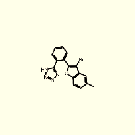 Cc1ccc2oc(-c3ccccc3-c3nnn[nH]3)c(Br)c2c1